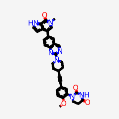 COc1ccc(C#CC2CCN(c3ncc4cc(-c5cn(C)c(=O)c6[nH]ccc56)ccc4n3)CC2)cc1N1CCC(=O)NC1=O